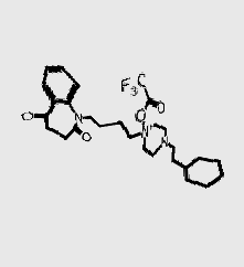 O=C1CCC(=O)N(CCCC[N+]2(OC(=O)C(F)(F)F)CCN(CCC3CCCCC3)CC2)c2ccccc21